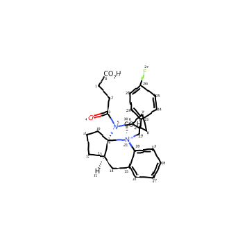 O=C(O)CCC(=O)N(C1CC1)[C@@]12CCC[C@@H]1Cc1ccccc1[N@@+]2(Cc1ccc(F)cc1)C(=O)O